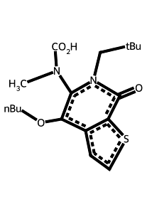 CCCCOc1c(N(C)C(=O)O)n(CC(C)(C)C)c(=O)c2sccc12